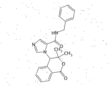 CC1(C)OC(=O)c2ccccc2C1n1cncc1C(=O)NCc1ccccc1